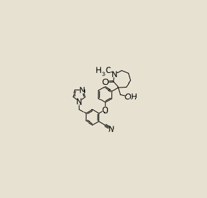 CN1CCCCC(CO)(c2cccc(Oc3cc(Cn4ccnc4)ccc3C#N)c2)C1=O